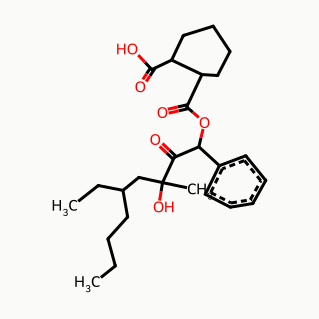 CCCCC(CC)CC(C)(O)C(=O)C(OC(=O)C1CCCCC1C(=O)O)c1ccccc1